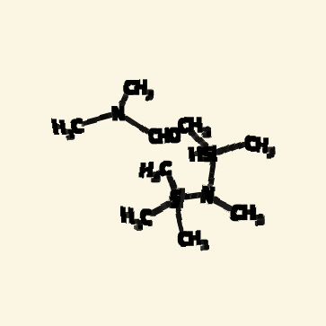 CN(C)C=O.CN([SiH](C)C)[Si](C)(C)C